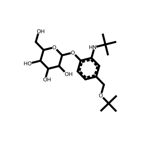 CC(C)(C)Nc1cc(COC(C)(C)C)ccc1OC1OC(CO)C(O)C(O)C1O